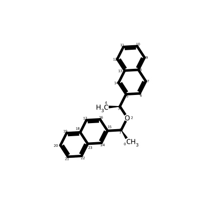 C[C@H](O[C@@H](C)c1ccc2ccccc2c1)c1ccc2ccccc2c1